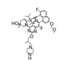 COCOc1cc(-c2ncc3c(N4CCC[C@@](C)(O)C4)nc(OCC(C)CN4CCNCC4)nc3c2F)c2c(C#C[Si](C(C)C)(C(C)C)C(C)C)c(F)ccc2c1